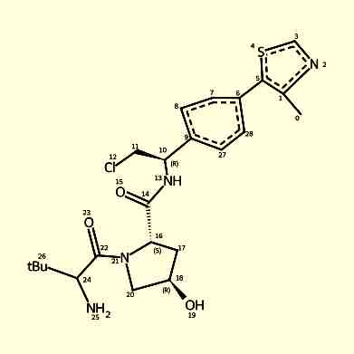 Cc1ncsc1-c1ccc([C@H](CCl)NC(=O)[C@@H]2C[C@@H](O)CN2C(=O)C(N)C(C)(C)C)cc1